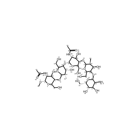 CO[C@H]1OC(CO)[C@H](OC2OC(CO)C(O[C@H]3OC(CO)[C@H](OC4OC(CO)C(O[C@@H]5O[C@@H](CO)[C@@H](O)C(O)C5N)[C@H](O)[C@@H]4C)C(O)[C@H]3NC(C)=O)[C@H](O)[C@@H]2C)C(O)[C@H]1NC(C)=O